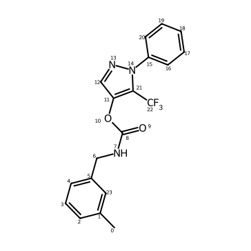 Cc1cccc(CNC(=O)Oc2cnn(-c3ccccc3)c2C(F)(F)F)c1